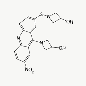 O=[N+]([O-])c1ccc2nc3ccc(SN4CC(O)C4)cc3c(N3CC(O)C3)c2c1